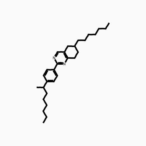 CCCCCCCC1CCc2nc(-c3ccc(C(C)CCCCCC)cc3)ncc2C1